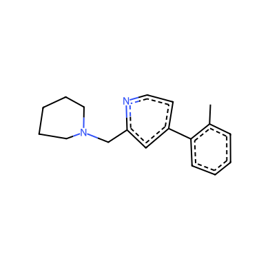 Cc1ccccc1-c1ccnc(CN2CCCCC2)c1